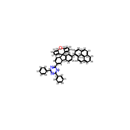 C1=CC2C(C=C1c1nc(-c3ccccc3)nc(-c3ccccc3)n1)c1ccc(-c3ccc4ccc5cccc6ccc3c4c56)cc1C21c2ccccc2Oc2ccccc21